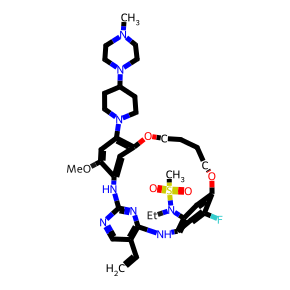 C=Cc1cnc2nc1Nc1cc(F)c(cc1N(CC)S(C)(=O)=O)OCCCCOc1cc(c(OC)cc1N1CCC(N3CCN(C)CC3)CC1)N2